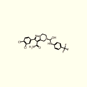 NC(=O)c1c(-c2ccc(Cl)c(Cl)c2)nn2c1CN(C(O)Nc1ccc(C(F)(F)F)cc1)CC2